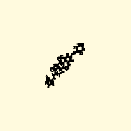 Cn1nccc1CCN1CCN2C(=O)N(c3c(F)cc(C#Cc4ccccc4)cc3F)C(=O)C[C@@]2(C)C1=O